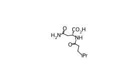 CC(C)CCC(=O)N[C@@H](CC(N)=O)C(=O)O